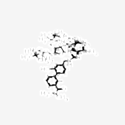 CN(C)C(=O)c1cccc(-c2ccc(CNc3nc4c(N)ncnc4n3[C@@H]3O[C@H](CO[Si](C)(C)C(C)(C)C)[C@@H](O[Si](C)(C)C(C)(C)C)[C@H]3O[Si](C)(C)C(C)(C)C)cc2O)c1